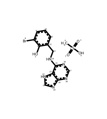 CS(=O)(=O)O.Oc1c(Br)cccc1CNc1ncnc2nc[nH]c12